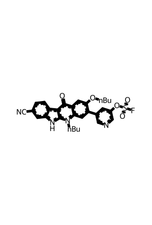 CCCCOc1cc2c(=O)c3c4ccc(C#N)cc4[nH]c3n(CCCC)c2cc1-c1cncc(OS(=O)(=O)F)c1